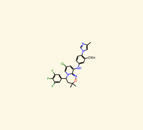 COc1cc(NC2=CC(Cl)=CN3C2=NOC(C)(C)CC3c2cc(F)c(F)c(F)c2)ccc1-n1cnc(C)c1